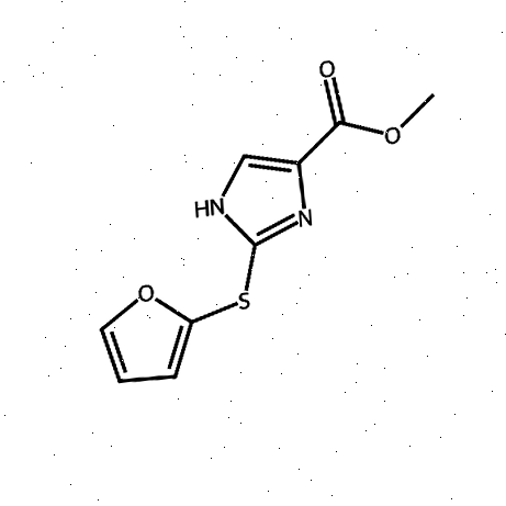 COC(=O)c1c[nH]c(Sc2ccco2)n1